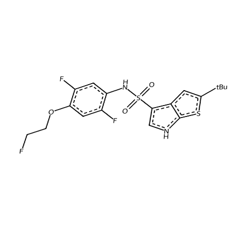 CC(C)(C)c1cc2c(S(=O)(=O)Nc3cc(F)c(OCCF)cc3F)c[nH]c2s1